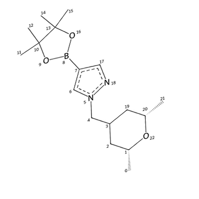 C[C@@H]1CC(Cn2cc(B3OC(C)(C)C(C)(C)O3)cn2)C[C@H](C)O1